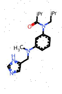 CC(C)CN(C(=O)C(C)C)c1cccc(N(C)Cc2cnc[nH]2)c1